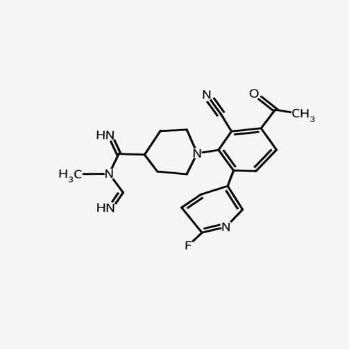 CC(=O)c1ccc(-c2ccc(F)nc2)c(N2CCC(C(=N)N(C)C=N)CC2)c1C#N